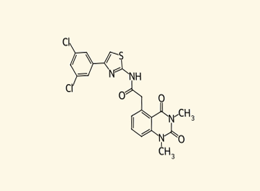 Cn1c(=O)c2c(CC(=O)Nc3nc(-c4cc(Cl)cc(Cl)c4)cs3)cccc2n(C)c1=O